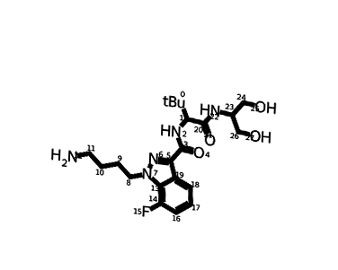 CC(C)(C)C(NC(=O)c1nn(CCCCN)c2c(F)cccc12)C(=O)NC(CO)CO